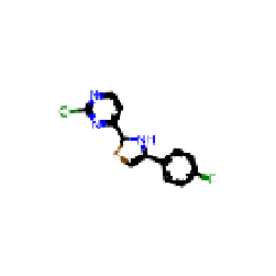 Fc1ccc(C2=CSC(c3ccnc(Cl)n3)N2)cc1